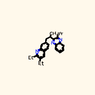 CCc1cc2ccc(CC(C)c3nc4ccccc4nc3C(C)C)cc2nc1CC